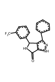 O=C1NC(c2cccc(C(F)(F)F)c2)c2c(-c3ccccc3)n[nH]c21